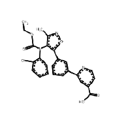 CCOC(=O)N(c1ccccc1Cl)c1c(C)noc1-c1cccc(-c2cc(C(=O)O)ccn2)c1